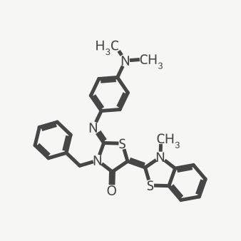 CN(C)c1ccc(N=C2SC(=C3Sc4ccccc4N3C)C(=O)N2Cc2ccccc2)cc1